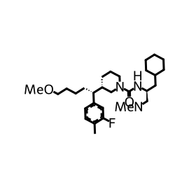 CNC[C@H](CC1CCCCC1)NC(=O)N1CCC[C@@H]([C@@H](CCCCOC)c2ccc(C)c(F)c2)C1